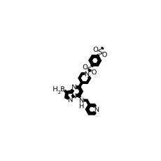 Bc1cnn2c(NCc3cccnc3)cc(C3CCN(S(=O)(=O)c4ccc(S(C)(=O)=O)cc4)CC3)nc12